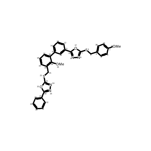 COc1ccc(CSc2nnc(-c3cccc(-c4cccc(CSc5nnc(-c6ccccc6)o5)c4OC)c3)o2)cc1